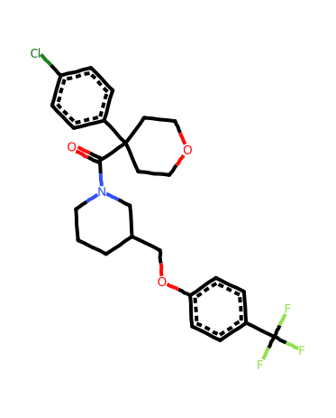 O=C(N1CCCC(COc2ccc(C(F)(F)F)cc2)C1)C1(c2ccc(Cl)cc2)CCOCC1